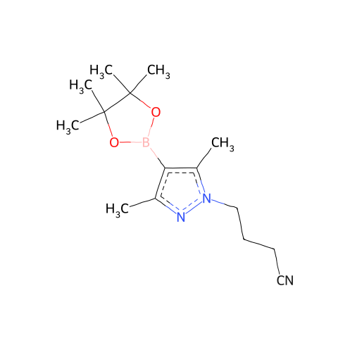 Cc1nn(CCCC#N)c(C)c1B1OC(C)(C)C(C)(C)O1